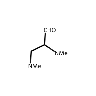 CNCC(C=O)NC